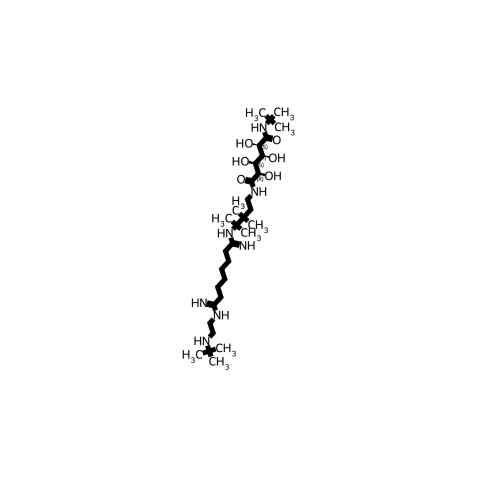 CC(C)(C)NCCNC(=N)CCCCCCC(=N)NC(C)(C)C(C)(C)CCNC(=O)[C@H](O)[C@@H](O)[C@@H](O)[C@H](O)C(=O)NC(C)(C)C